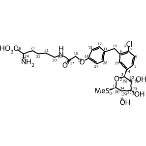 CS[C@H]1O[C@@H](c2ccc(Cl)c(Cc3ccc(OCC(=O)NCCCCC(N)C(=O)O)cc3)c2)[C@H](O)[C@@H](O)[C@@H]1O